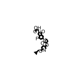 O=C(O)CN1Cc2c(F)cc(N3CC[C@@H](Oc4ccc(OCC5CC5)nc4)C3=O)cc2C1=O